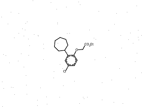 CCOC(=O)COc1ccc(Cl)cc1C1CCCCCC1